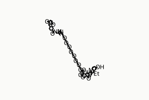 CCc1c2c(nc3ccc(O)cc13)-c1cc3c(c(=O)n1C2)COC(=O)[C@@]3(CC)OC(=O)OCCOCCOCCOCCOCCOCCOCCOCCn1cc(CNC(=O)C2CCC(CN3C(=O)C=CC3=O)CC2)nn1